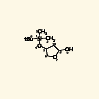 CC(C)(C)[Si](C)(C)OC1COC(O)C1